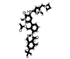 CC(=O)OCc1c(-c2cc(Nc3cc(CN4CCC4)n(C)n3)c(=O)n(C)n2)cccc1-n1ncc2cc(C(C)(C)C)cc(F)c2c1=O